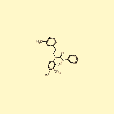 Cc1cccc(CCN(C(=O)[C@@H](N)c2ccccc2)c2ccc(C)c(C)c2)c1